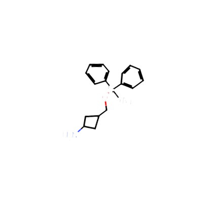 CC(C)(C)[Si](OCC1CC(N)C1)(c1ccccc1)c1ccccc1